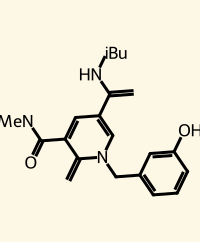 C=C(NC(C)CC)C1=CN(Cc2cccc(O)c2)C(=C)C(C(=O)NC)=C1